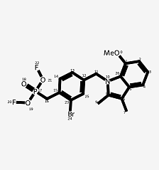 COc1cccc2c(C)c(C)n(Cc3ccc(CP(=O)(OF)OF)c(Br)c3)c12